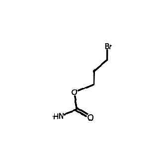 [NH]C(=O)OCCCBr